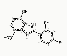 O=C(O)c1ccc(O)c2[nH]c(-c3ccc(F)cc3F)nc12